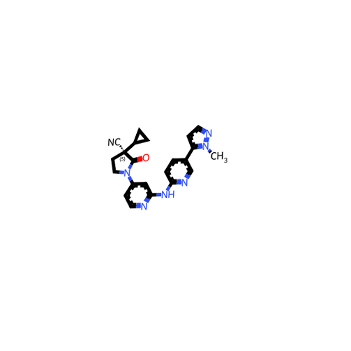 Cn1nccc1-c1ccc(Nc2cc(N3CC[C@@](C#N)(C4CC4)C3=O)ccn2)nc1